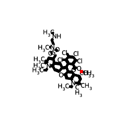 CCOC(=O)c1c(Cl)c(Cl)c(Cl)c(Cl)c1C1=c2cc3c(cc2Oc2cc4c(cc21)C(C)=CC(C)(C)N4CC)=[N+](CC)C(C)(C)C=C3CS(=O)(=O)N(C)CCNC